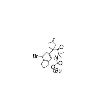 C=C(C)CC1(C)C(=O)C(C)(C)N(C(=O)OC(C)(C)C)c2c1cc(Br)c1c2CCC1